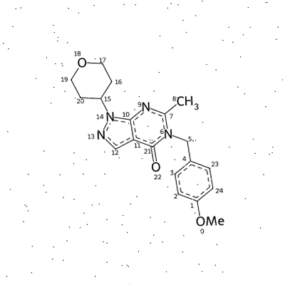 COc1ccc(Cn2c(C)nc3c(cnn3C3CCOCC3)c2=O)cc1